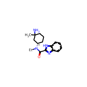 CCN(C(=O)c1nc2ccccc2[nH]1)[C@H]1CCCC(C)(N)C1